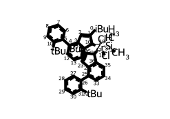 CCC(C)C1=Cc2c(-c3ccccc3C(C)(C)C)cccc2[CH]1[Zr]([Cl])([Cl])([CH]1C(C(C)CC)=Cc2c(-c3ccccc3C(C)(C)C)cccc21)[SiH](C)C